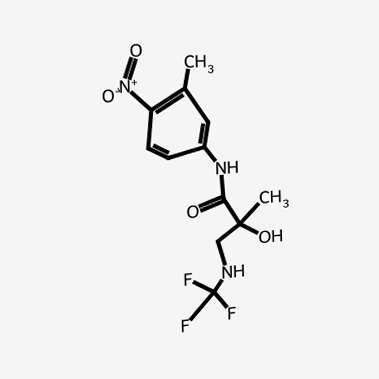 Cc1cc(NC(=O)C(C)(O)CNC(F)(F)F)ccc1[N+](=O)[O-]